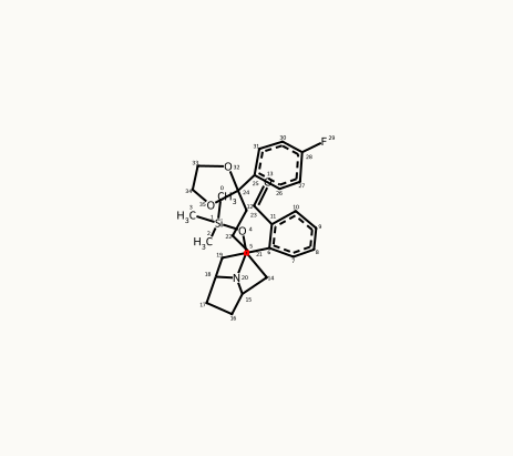 C[Si](C)(C)OC1(c2ccccc2C=O)CC2CCC(C1)N2CCCC1(c2ccc(F)cc2)OCCO1